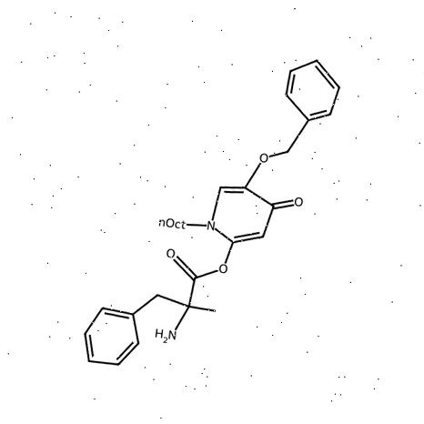 CCCCCCCCn1cc(OCc2ccccc2)c(=O)cc1OC(=O)C(C)(N)Cc1ccccc1